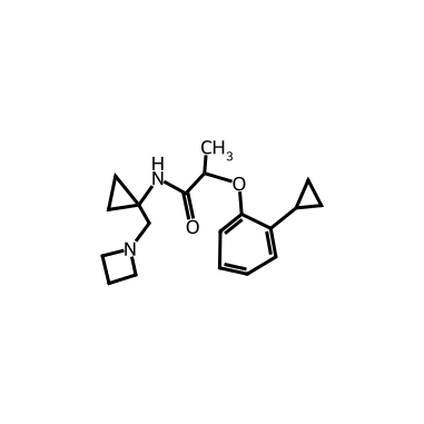 CC(Oc1ccccc1C1CC1)C(=O)NC1(CN2CCC2)CC1